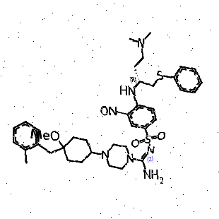 COC1(Cc2ccccc2C)CCC(N2CCN(/C(N)=N\S(=O)(=O)c3ccc(N[C@H](CCN(C)C)CSc4ccccc4)c(N=O)c3)CC2)CC1